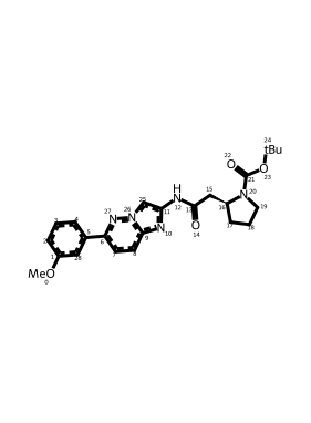 COc1cccc(-c2ccc3nc(NC(=O)C[C@@H]4CCCN4C(=O)OC(C)(C)C)cn3n2)c1